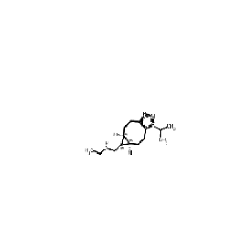 CCNC[C@@H]1[C@@H]2CCc3c(nnn3C(C)C)CC[C@@H]21